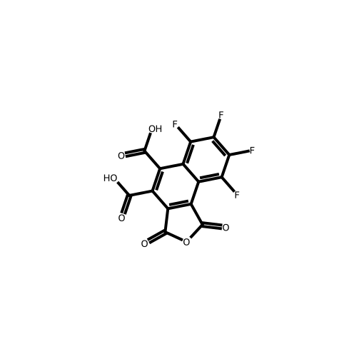 O=C(O)c1c2c(c3c(F)c(F)c(F)c(F)c3c1C(=O)O)C(=O)OC2=O